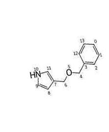 c1ccc(COCc2cc[nH]c2)cc1